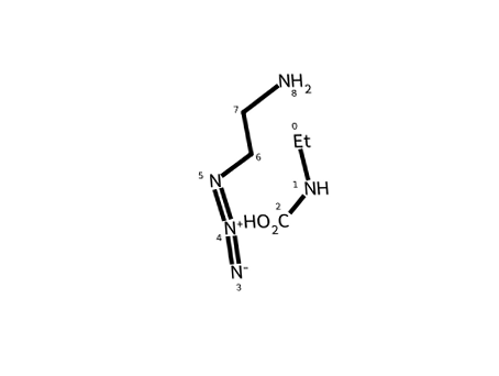 CCNC(=O)O.[N-]=[N+]=NCCN